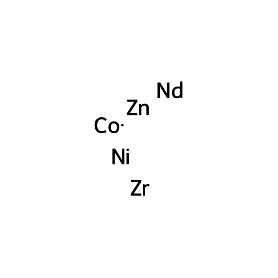 [Co].[Nd].[Ni].[Zn].[Zr]